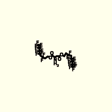 NC(CC(=O)OCCC(F)(F)CC(F)(F)C(F)(F)C(F)(F)C(F)(F)F)C(=O)OCCC(F)(F)CC(F)(F)C(F)(F)C(F)(F)C(F)(F)F